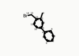 Cc1cc(-c2ccccc2)ccc1CBr